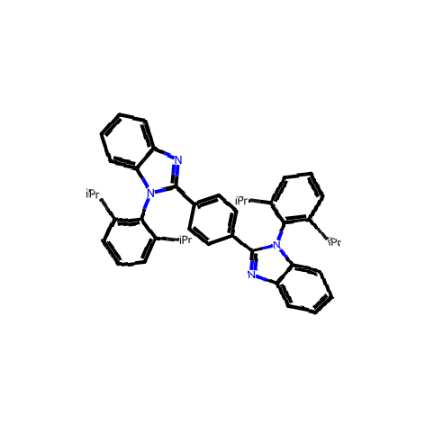 CC(C)c1cccc(C(C)C)c1-n1c(-c2ccc(-c3nc4ccccc4n3-c3c(C(C)C)cccc3C(C)C)cc2)nc2ccccc21